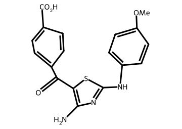 COc1ccc(Nc2nc(N)c(C(=O)c3ccc(C(=O)O)cc3)s2)cc1